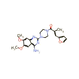 COc1cc2nc(N3CCN(C(=O)C(C)=Cc4ccco4)CC3)nc(N)c2cc1OC